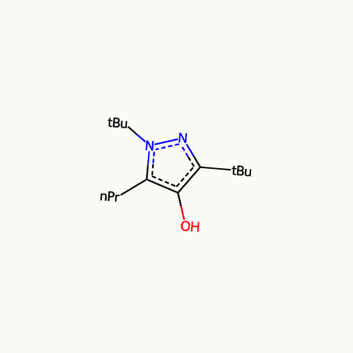 CCCc1c(O)c(C(C)(C)C)nn1C(C)(C)C